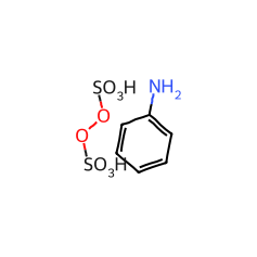 Nc1ccccc1.O=S(=O)(O)OOS(=O)(=O)O